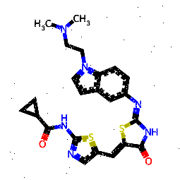 CN(C)CCn1ccc2cc(N=C3NC(=O)/C(=C/c4cnc(NC(=O)C5CC5)s4)S3)ccc21